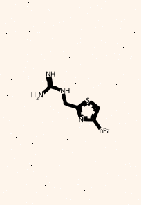 CCCc1csc(CNC(=N)N)n1